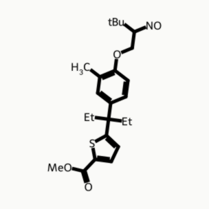 CCC(CC)(c1ccc(OCC(N=O)C(C)(C)C)c(C)c1)c1ccc(C(=O)OC)s1